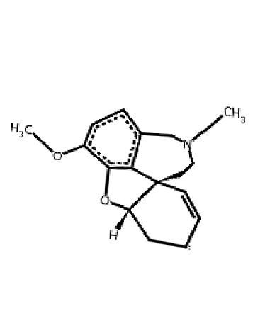 COc1ccc2c3c1O[C@H]1C[C]C=C[C@@]31CCN(C)C2